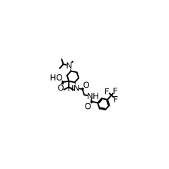 CC(C)N(C)[C@@H]1CC[C@H](NC(=O)CNC(=O)c2cccc(C(F)(F)F)c2)C(C(=O)O)(C(C)C)C1